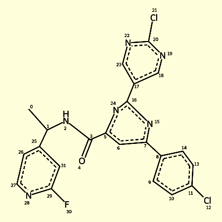 CC(NC(=O)c1cc(-c2ccc(Cl)cc2)nc(-c2cnc(Cl)nc2)n1)c1ccnc(F)c1